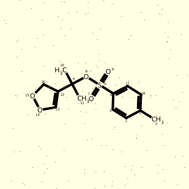 Cc1ccc(S(=O)(=O)OC(C)(C)C2=COOC2)cc1